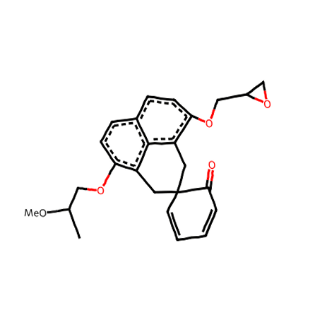 COC(C)COc1ccc2ccc(OCC3CO3)c3c2c1CC1(C=CC=CC1=O)C3